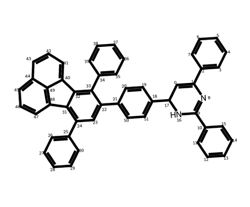 C1=C(c2ccccc2)N=C(c2ccccc2)NC1c1ccc(-c2cc(-c3ccccc3)c3c(c2-c2ccccc2)-c2cccc4cccc-3c24)cc1